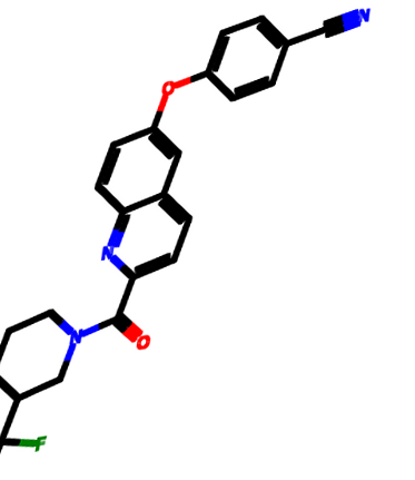 N#Cc1ccc(Oc2ccc3nc(C(=O)N4CCCC(C(F)(F)F)C4)ccc3c2)cc1